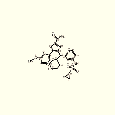 CCOc1cncc(-c2sc(C(N)=O)nc2C(c2cc(NS(=O)(=O)C3CC3)ccn2)C2CCNCC2)n1